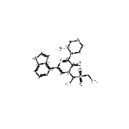 CCS(=O)(=O)C(C)n1cc(-c2cccc3[nH]ccc23)nc(N2CCOC[C@H]2C)c1=O